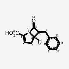 O=C(O)C1=CC[C@H]2C(Cc3ccccc3)C(=O)N12